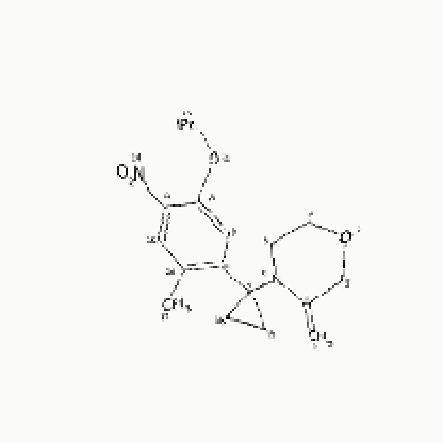 C=C1COCCN1C1(c2cc(OC(C)C)c([N+](=O)[O-])cc2C)CC1